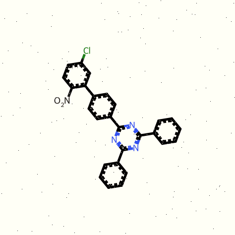 O=[N+]([O-])c1ccc(Cl)cc1-c1ccc(-c2nc(-c3ccccc3)nc(-c3ccccc3)n2)cc1